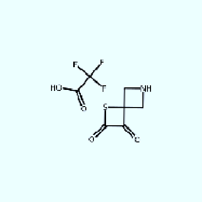 O=C(O)C(F)(F)F.O=C1SC2(CNC2)C1=O